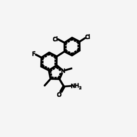 Cc1c(C(N)=O)n(C)c2c(-c3ccc(Cl)cc3Cl)cc(F)cc12